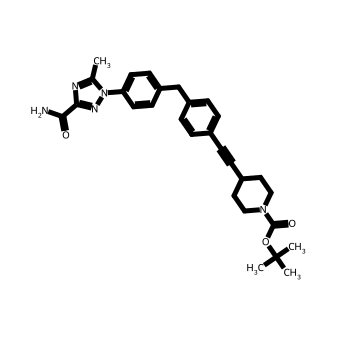 Cc1nc(C(N)=O)nn1-c1ccc(Cc2ccc(C#CC3CCN(C(=O)OC(C)(C)C)CC3)cc2)cc1